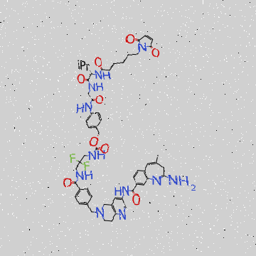 CC1=Cc2ccc(C(=O)Nc3cnc4c(c3)CN(Cc3ccc(C(=O)NCC(F)(F)CNC(=O)OCc5ccc(NC(=O)CNC(=O)C(NC(=O)CCCCCN6C(=O)C=CC6=O)C(C)C)cc5)cc3)CC4)cc2N=C(N)C1